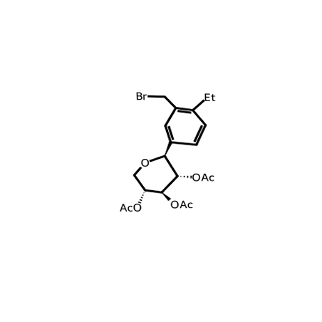 CCc1ccc([C@@H]2OC[C@@H](OC(C)=O)[C@H](OC(C)=O)[C@H]2OC(C)=O)cc1CBr